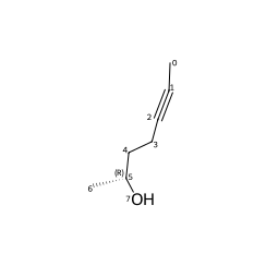 CC#CCC[C@@H](C)O